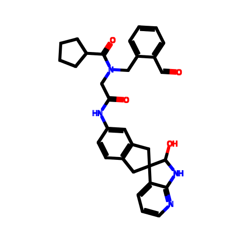 O=Cc1ccccc1CN(CC(=O)Nc1ccc2c(c1)CC1(C2)c2cccnc2NC1O)C(=O)C1CCCC1